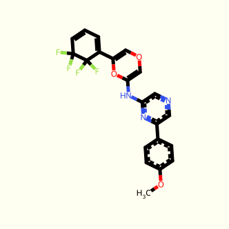 COc1ccc(-c2cncc(NC3=COC=C(C4=CC=CC(F)(F)C4(F)F)O3)n2)cc1